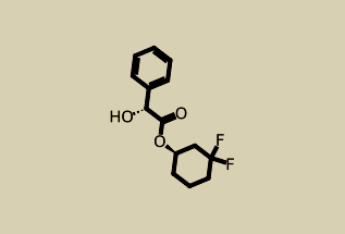 O=C(O[C@@H]1CCCC(F)(F)C1)[C@H](O)c1ccccc1